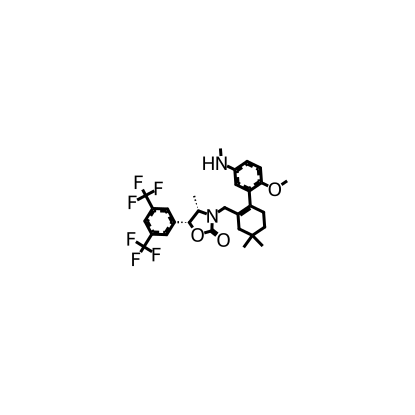 CNc1ccc(OC)c(C2=C(CN3C(=O)O[C@H](c4cc(C(F)(F)F)cc(C(F)(F)F)c4)[C@@H]3C)CC(C)(C)CC2)c1